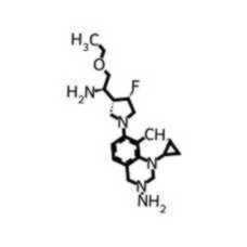 CCOC[C@H](N)[C@H]1CN(c2ccc3c(c2C)N(C2CC2)CN(N)C3)C[C@H]1F